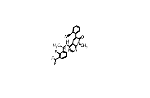 C[C@@H](Nc1ncnc2c1cc(-c1ccccc1C#N)c(=O)n2C)c1cccc(C(F)F)c1F